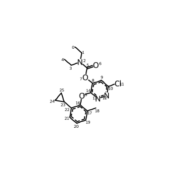 CCN(CC)C(=O)Oc1cc(Cl)nnc1Oc1c(C)cccc1C1CC1